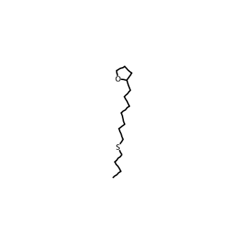 CCCCSCCCCCCCC1CCCO1